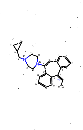 N#C/C=C1/c2ccccc2C=C(N2CCN(CC3CC3)CC2)c2ccccc21